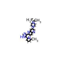 Cc1cccc(-c2[nH]cnc2-c2ccc3ncc(N4CCN(C(C)C)CC4)cc3n2)n1